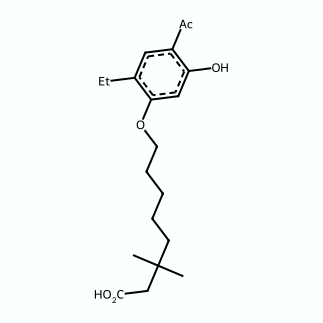 CCc1cc(C(C)=O)c(O)cc1OCCCCCC(C)(C)CC(=O)O